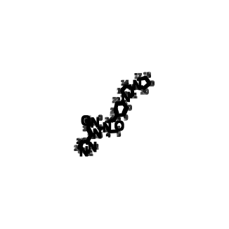 Cn1c(N2CCOC(c3ccc(N4CCC(N5CCCC5)C4)cc3)C2)nc(-c2ccncn2)cc1=O